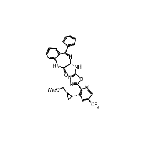 COC[C@@H]1C[C@H]1c1cc(C(F)(F)F)cnc1-c1nnc(N[C@H]2N=C(c3ccccc3)c3ccccc3NC2=O)o1